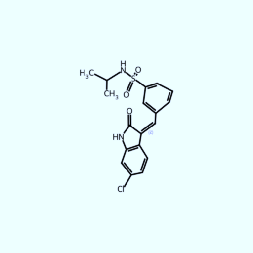 CC(C)NS(=O)(=O)c1cccc(/C=C2\C(=O)Nc3cc(Cl)ccc32)c1